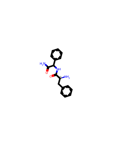 NC(=O)C(NC(=O)[C@@H](N)Cc1ccccc1)c1ccccc1